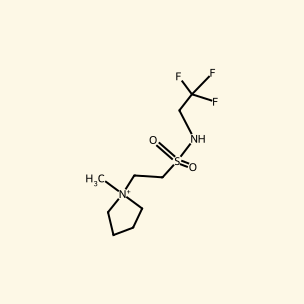 C[N+]1(CCS(=O)(=O)NCC(F)(F)F)CCCC1